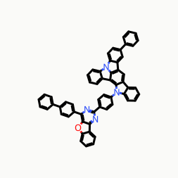 c1ccc(-c2ccc(-c3nc(-c4ccc(-n5c6ccccc6c6cc7c8cc(-c9ccccc9)ccc8n8c9ccccc9c(c65)c78)cc4)nc4c3oc3ccccc34)cc2)cc1